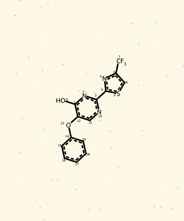 Oc1nc(-c2nc(C(F)(F)F)cs2)ncc1Oc1ccccc1